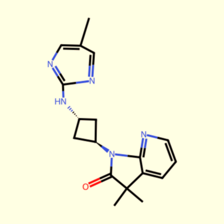 Cc1cnc(N[C@H]2C[C@H](N3C(=O)C(C)(C)c4cccnc43)C2)nc1